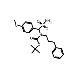 COc1ccc(C(N(CCCc2ccccc2)C(=O)OC(C)(C)C)S(N)(=O)=O)cc1